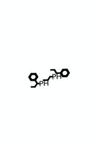 CCC(PCCCPC(CC)c1ccccc1)c1ccccc1